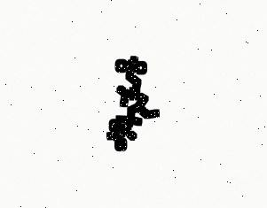 CCC(CN(CCS(C)(=O)=O)C(C)C)CC(C)(C)N(C)S(C)(=O)=O